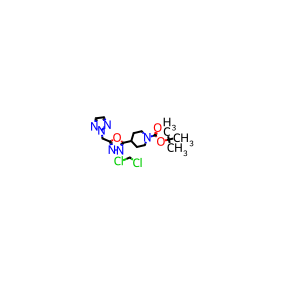 CC(C)(C)OC(=O)N1CCC(c2nnc(Cn3nccn3)o2)CC1.ClCCl